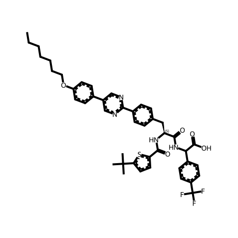 CCCCCCCOc1ccc(-c2cnc(-c3ccc(C[C@H](NC(=O)c4ccc(C(C)(C)C)s4)C(=O)NC(C(=O)O)c4ccc(C(F)(F)F)cc4)cc3)nc2)cc1